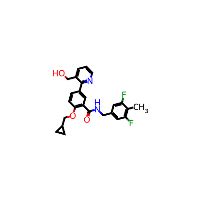 Cc1c(F)cc(CNC(=O)c2cc(-c3ncccc3CO)ccc2OCC2CC2)cc1F